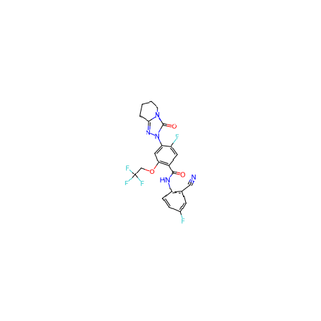 N#Cc1cc(F)ccc1NC(=O)c1cc(F)c(-n2nc3n(c2=O)CCCC3)cc1OCC(F)(F)F